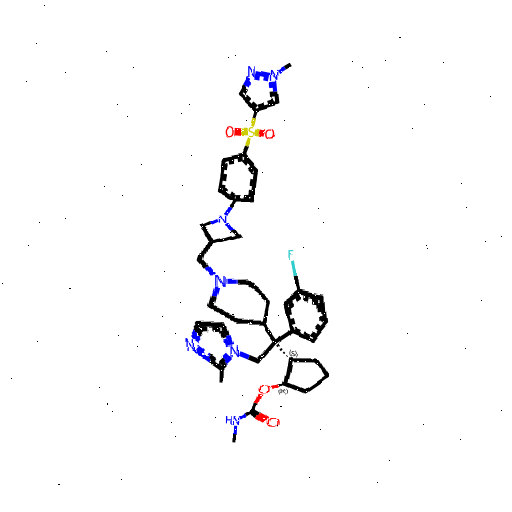 CNC(=O)O[C@@H]1CCC[C@H]1C(Cn1ccnc1C)(c1cccc(F)c1)C1CCN(CC2CN(c3ccc(S(=O)(=O)c4cnn(C)c4)cc3)C2)CC1